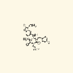 CCc1oc2ccc(NC3N(N)C(=O)N(CCN=O)C(=O)N3Cc3ccc(Cl)cc3)cc2c1C